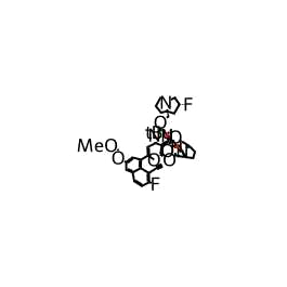 C#Cc1c(F)ccc2cc(OCOC)cc(-c3cc4nc(OC[C@@]56CCCN5C[C@H](F)C6)nc(N5CC6CCC(C5)N6C(=O)OC(C)(C)C)c4c(=O)o3)c12